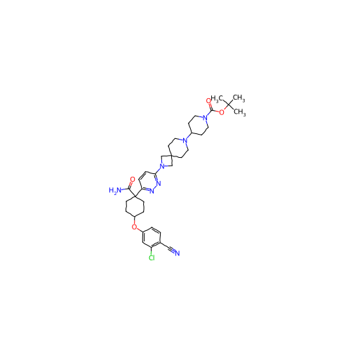 CC(C)(C)OC(=O)N1CCC(N2CCC3(CC2)CN(c2ccc(C4(C(N)=O)CCC(Oc5ccc(C#N)c(Cl)c5)CC4)nn2)C3)CC1